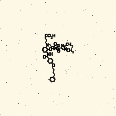 Cc1nc(S(=O)(=O)NC(=O)C2CN(CCCC(=O)O)c3cccc(NC(=O)c4ccc(OCCCCc5ccccc5)cc4)c3O2)cn1C